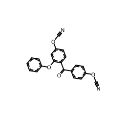 N#COc1ccc(C(=O)c2ccc(OC#N)cc2Oc2ccccc2)cc1